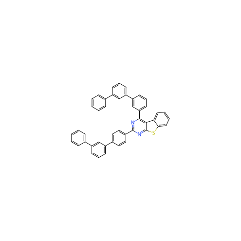 c1ccc(-c2cccc(-c3ccc(-c4nc(-c5cccc(-c6cccc(-c7ccccc7)c6)c5)c5c(n4)sc4ccccc45)cc3)c2)cc1